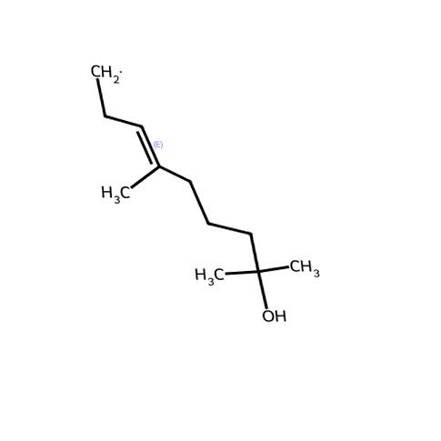 [CH2]C/C=C(\C)CCCC(C)(C)O